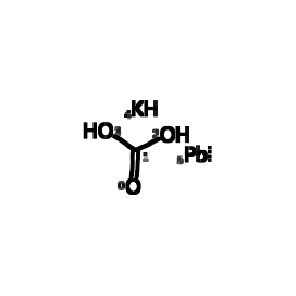 O=C(O)O.[KH].[Pb]